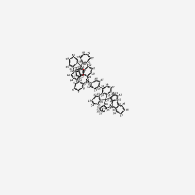 c1ccc(-c2ccccc2N(c2ccc(-c3cccc4c3-c3ccccc3C43c4ccccc4-n4c5ccccc5c5cccc3c54)cc2)c2ccc3c(c2)C2(c4ccccc4-c4ccccc42)c2ccccc2-3)cc1